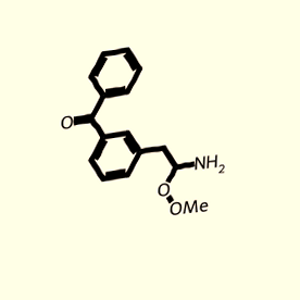 COOC(N)Cc1cccc(C(=O)c2ccccc2)c1